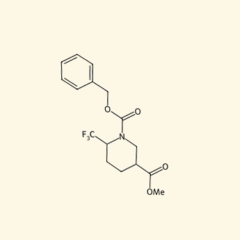 COC(=O)C1CCC(C(F)(F)F)N(C(=O)OCc2ccccc2)C1